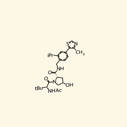 CC(=O)N[C@H](C(=O)N1C[C@H](O)C[C@H]1C(=O)NCc1ccc(-c2scnc2C)cc1C(C)C)C(C)(C)C